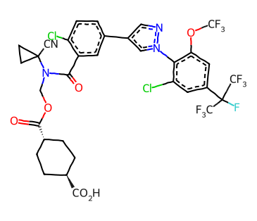 N#CC1(N(COC(=O)[C@H]2CC[C@H](C(=O)O)CC2)C(=O)c2cc(-c3cnn(-c4c(Cl)cc(C(F)(C(F)(F)F)C(F)(F)F)cc4OC(F)(F)F)c3)ccc2Cl)CC1